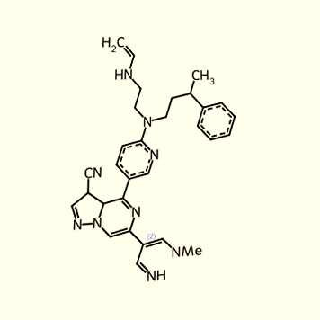 C=CNCCN(CCC(C)c1ccccc1)c1ccc(C2=NC(/C(C=N)=C/NC)=CN3N=CC(C#N)C23)cn1